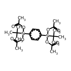 CC(=O)O[Si](OC(C)=O)(c1ccc([Si](OC(C)=O)(OC(C)=O)C(C)(C)C)cc1)C(C)(C)C